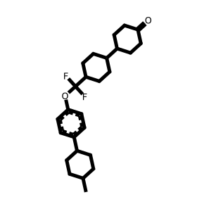 CC1CCC(c2ccc(OC(F)(F)C3CCC(C4CCC(=O)CC4)CC3)cc2)CC1